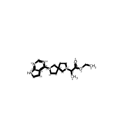 CCOC(=O)C(C)N1CCC2(CCN(c3ncnc4[nH]ccc34)C2)C1